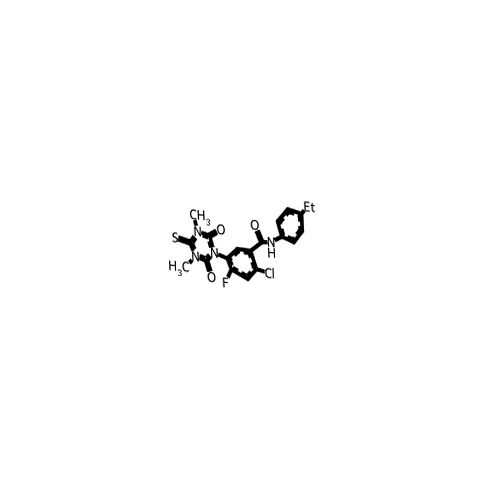 CCc1ccc(NC(=O)c2cc(-n3c(=O)n(C)c(=S)n(C)c3=O)c(F)cc2Cl)cc1